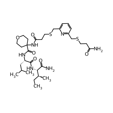 CC[C@H](C)[C@H](NC(=O)[C@H](CC(C)C)NC(=O)C1(NC(=O)CCSCc2cccc(CSCCC(N)=O)n2)CCOCC1)C(N)=O